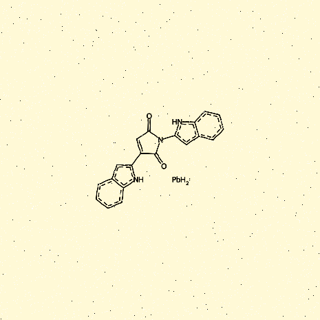 O=C1C=C(c2cc3ccccc3[nH]2)C(=O)N1c1cc2ccccc2[nH]1.[PbH2]